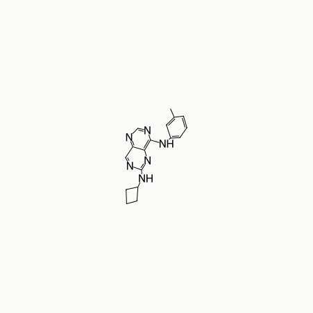 Cc1cccc(Nc2ncnc3cnc(NC4CCC4)nc23)c1